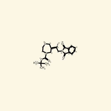 CC(C)(C)OC(=O)N1CCOC/C(=C(\F)CN2C(=O)c3ccccc3C2=O)C1